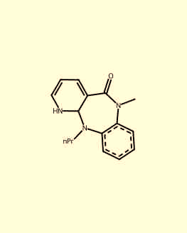 CCCN1c2ccccc2N(C)C(=O)C2=CC=CNC21